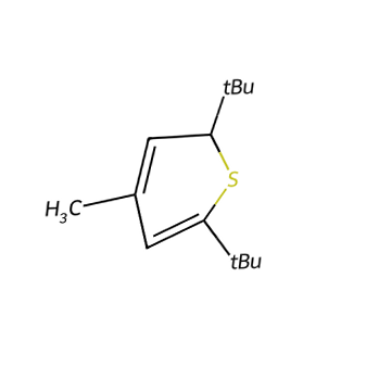 CC1=CC(C(C)(C)C)SC(C(C)(C)C)=C1